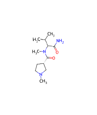 CC(C)C(C(N)=O)N(C)C(=O)[C@H]1CCN(C)C1